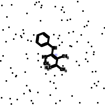 C=C(C)/C(C)=C(\NC)Nc1ccccc1